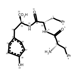 CC(C)C[C@H](NC(=O)[C@@H](N)CC(C)C)C(=O)N[C@@H](Cc1ccc(O)cc1)C(=O)O